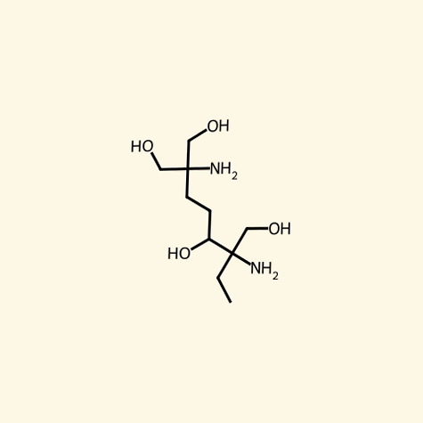 CCC(N)(CO)C(O)CCC(N)(CO)CO